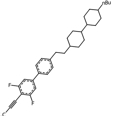 CCCCC1CCC(C2CCC(CCc3ccc(-c4cc(F)c(C#CC(F)(F)F)c(F)c4)cc3)CC2)CC1